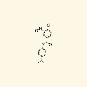 CC(C)c1ccc(NC(=O)c2ccc(Cl)c(N=O)c2)cc1